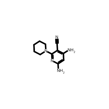 N#Cc1c(N)cc(N)nc1N1CCCCC1